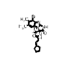 Cc1cc2c(nc3n2C(NC(=O)CCC2CCCC2)(C(F)(F)F)C(=O)N3)c(Br)c1C